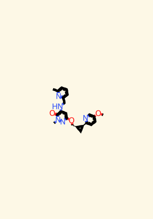 COc1ccc([C@H]2C[C@@H]2COc2cc(NCc3cccc(C)n3)c(=O)n(C)n2)nc1